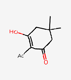 CC(=O)C1=C(O)CC(C)(C)CC1=O